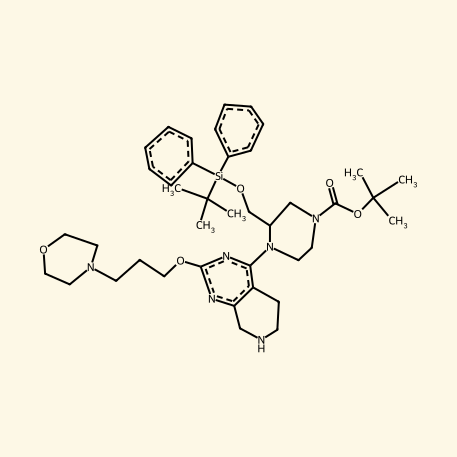 CC(C)(C)OC(=O)N1CCN(c2nc(OCCCN3CCOCC3)nc3c2CCNC3)C(CO[Si](c2ccccc2)(c2ccccc2)C(C)(C)C)C1